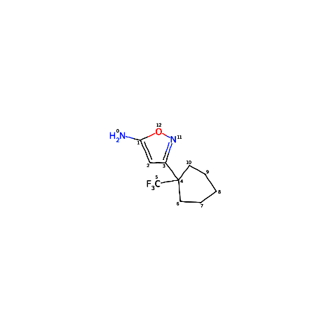 Nc1cc(C2(C(F)(F)F)CCCCC2)no1